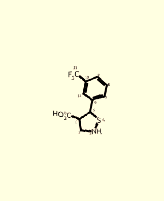 O=C(O)C1CNSC1c1cccc(C(F)(F)F)c1